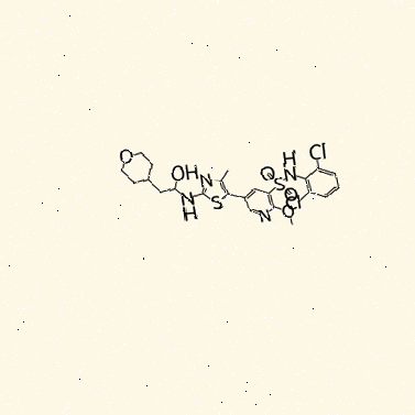 COc1ncc(-c2sc(NC(O)CC3CCOCC3)nc2C)cc1S(=O)(=O)Nc1c(Cl)cccc1Cl